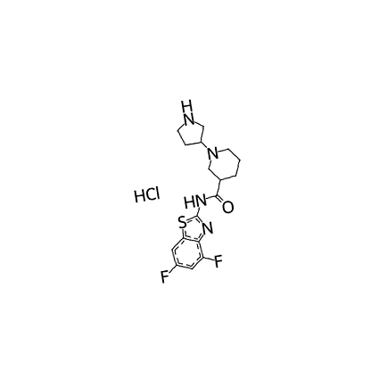 Cl.O=C(Nc1nc2c(F)cc(F)cc2s1)C1CCCN(C2CCNC2)C1